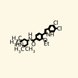 CCOc1cc(C(=O)NC2CC(C)(C)NC(C)(C)C2)ccc1-c1cc2cc(Cl)c(Cl)cc2[nH]1